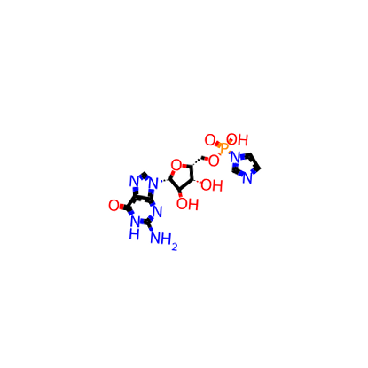 Nc1nc2c(ncn2[C@@H]2O[C@H](COP(=O)(O)n3ccnc3)[C@H](O)C2O)c(=O)[nH]1